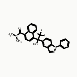 CN(C)C(=O)c1ccc(C(O)(c2ccc3c(cnn3-c3ccccc3)c2)C(F)(F)F)c2ccccc12